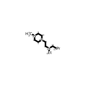 CCN(CCN1CCN(C)CC1)CC(C)C